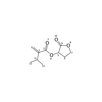 C=C(C(=O)OC1CCOC1=O)C(C)C